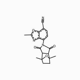 Cc1nc2c(N3C(=O)C4C(C3=O)C3(C)CCC4(C)O3)ccc(C#N)c2o1